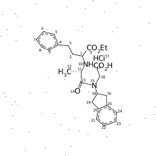 CCOC(=O)C(CCc1ccccc1)N[C@@H](C)C(=O)N(CC(=O)O)C1Cc2ccccc2C1.Cl